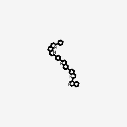 c1ccc(-c2ccc3ccc4ccc(-c5ccc(-c6ccc7cc(-c8ccc9ccc(-c%10cncc%11ccccc%10%11)nc9c8)ccc7n6)cc5)nc4c3n2)cc1